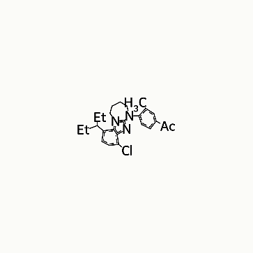 CCC(CC)c1ccc(Cl)c2nc3n(c12)CCCCN3c1ccc(C(C)=O)cc1C